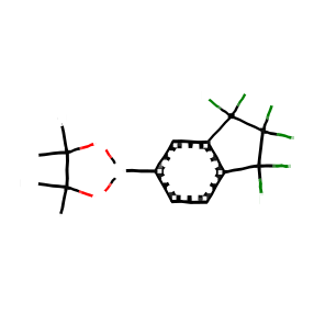 CC1(C)OB(c2ccc3c(c2)C(F)(F)C(F)(F)C3(F)F)OC1(C)C